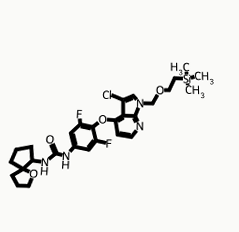 C[Si](C)(C)CCOCn1cc(Cl)c2c(Oc3c(F)cc(NC(=O)NC4CCCC45CCCO5)cc3F)ccnc21